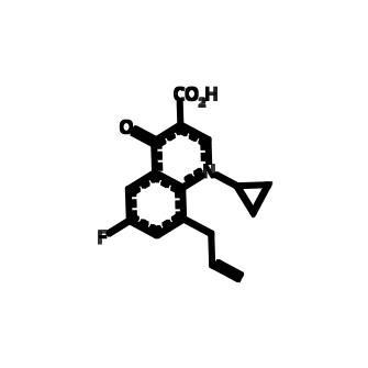 C=CCc1cc(F)cc2c(=O)c(C(=O)O)cn(C3CC3)c12